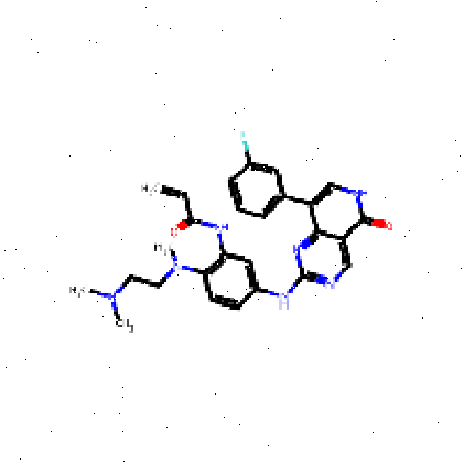 C=CC(=O)Nc1cc(Nc2ncc3c(=O)[nH]cc(-c4cccc(F)c4)c3n2)ccc1N(C)CCN(C)C